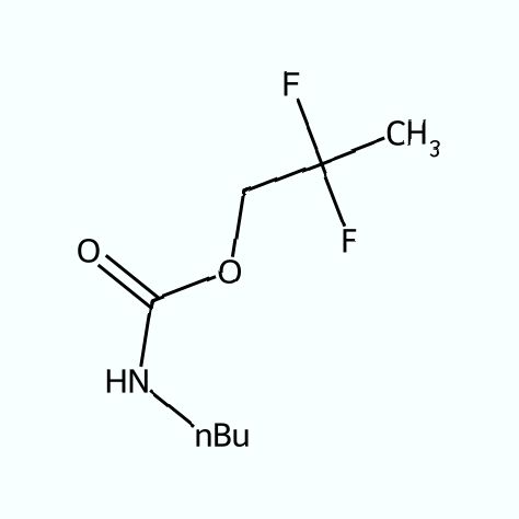 CCCCNC(=O)OCC(C)(F)F